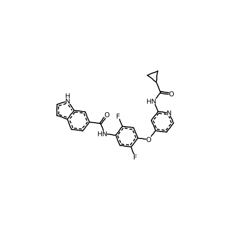 O=C(Nc1cc(F)c(Oc2ccnc(NC(=O)C3CC3)c2)cc1F)c1ccc2cc[nH]c2c1